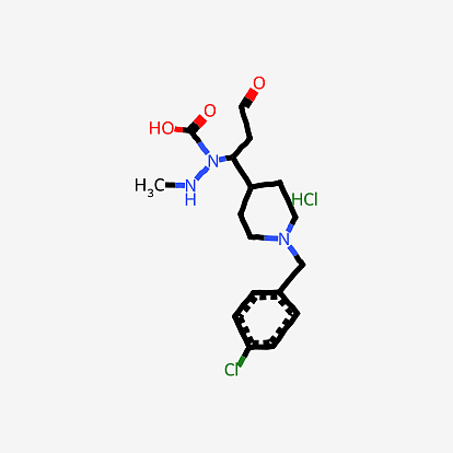 CNN(C(=O)O)C(CC=O)C1CCN(Cc2ccc(Cl)cc2)CC1.Cl